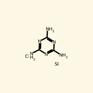 Nc1nc(N)nc(N)n1.[C].[Si]